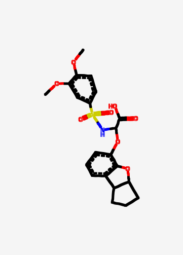 COc1ccc(S(=O)(=O)NC(Oc2cccc3c2OC2CCCC32)C(=O)O)cc1OC